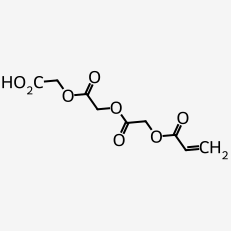 C=CC(=O)OCC(=O)OCC(=O)OCC(=O)O